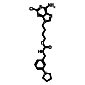 Nc1nc(Cl)nc2c1ncn2CCCCOC(=O)NCc1cccc(N2CCCC2)c1